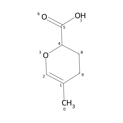 CC1=COC(C(=O)O)CC1